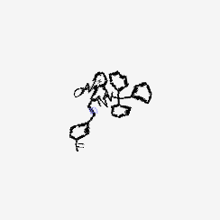 [O-][n+]1cccc2c1c(/C=C/c1cccc(F)c1)nn2C(c1ccccc1)(c1ccccc1)c1ccccc1